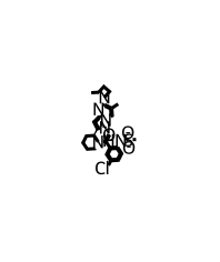 Cc1cn2nc([C@@H]3CCCCN3C(=O)c3cc(Cl)ccc3NS(C)(=O)=O)cc2nc1N1CCC1C